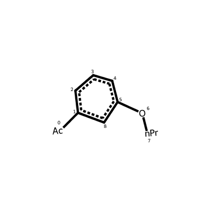 [CH2]C(=O)c1cccc(OCCC)c1